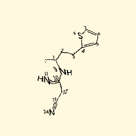 CC(CCc1cccs1)NC(=N)CC#N